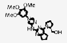 COc1cc(-n2cnc(Nc3nc4c(c(N5CCC[C@H]5CO)n3)CCC4)c2)cc(OC)c1OC